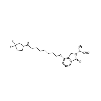 CCCC(C=O)N1Cc2c(SCCCCCCCNC3CCC(F)(F)C3)cccc2C1=O